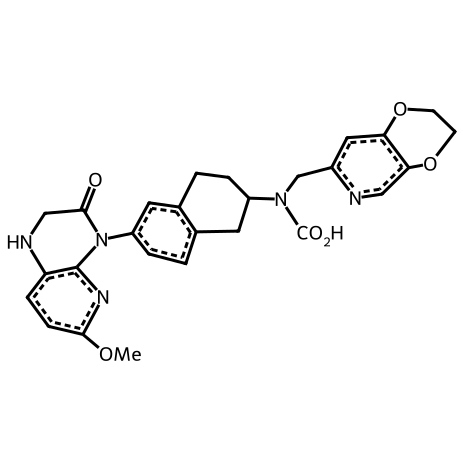 COc1ccc2c(n1)N(c1ccc3c(c1)CCC(N(Cc1cc4c(cn1)OCCO4)C(=O)O)C3)C(=O)CN2